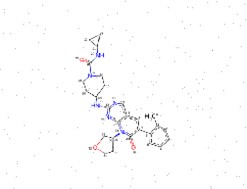 Cc1ccccc1-c1cc2cnc(NC3CCN(C(=O)NC4CC4)CC3)nc2n([C@H]2CCOC2)c1=O